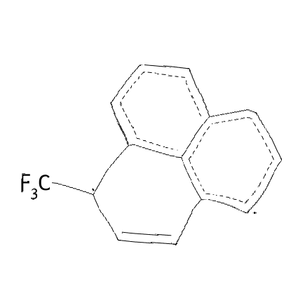 FC(F)(F)[C]1C=Cc2[c]ccc3cccc1c23